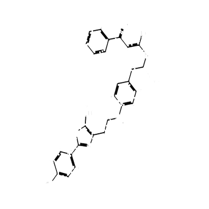 CC/C(=C\C(=O)c1ccccc1)N[C@@H](Cc1ccc(OCCc2nc(-c3ccc(F)cc3)oc2C)cc1)C(=O)O